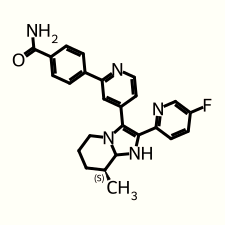 C[C@H]1CCCN2C(c3ccnc(-c4ccc(C(N)=O)cc4)c3)=C(c3ccc(F)cn3)NC12